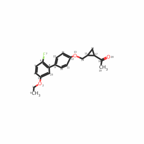 CCOc1ccc(F)c(-c2ccc(OCC3CC3C(C)=O)cc2)c1